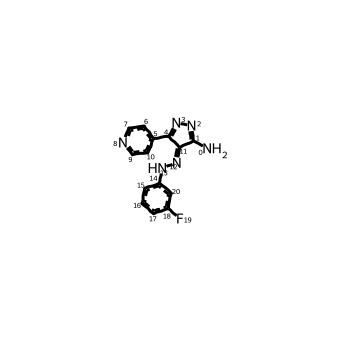 NC1=NN=C(c2ccncc2)/C1=N\Nc1cccc(F)c1